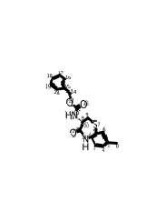 Cc1ccc2c(c1)SC[C@@H](NC(=O)OCc1ccccc1)C(=O)N2